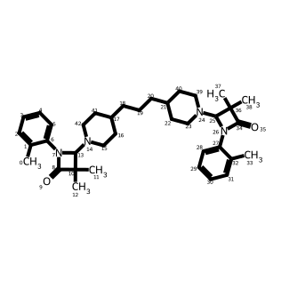 Cc1ccccc1N1C(=O)C(C)(C)C1N1CCC(CCCC2CCN(C3N(c4ccccc4C)C(=O)C3(C)C)CC2)CC1